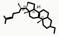 CCC1CC[C@]2(C)C3=C(CCC2C1)[C@@H]1CC[C@H]([C@H](C)CCC=C(C)C)[C@@]1(C)CC3